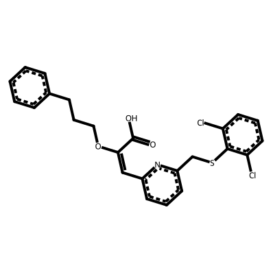 O=C(O)/C(=C\c1cccc(CSc2c(Cl)cccc2Cl)n1)OCCCc1ccccc1